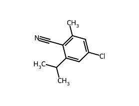 Cc1cc(Cl)cc(C(C)C)c1C#N